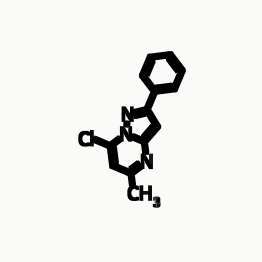 Cc1cc(Cl)n2nc(-c3ccccc3)cc2n1